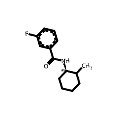 CC1CCCC[C@H]1NC(=O)c1cccc(F)c1